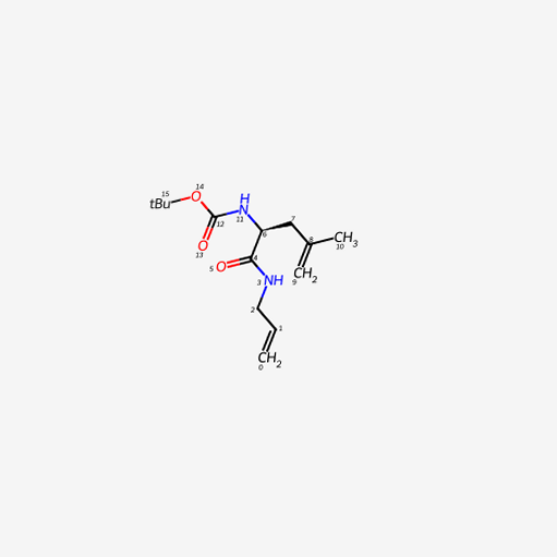 C=CCNC(=O)[C@H](CC(=C)C)NC(=O)OC(C)(C)C